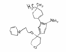 CC1(C)CC=C(c2cc(C3(OCCN4C=CC=CC4)CCOCC3)ccc2N)CC1